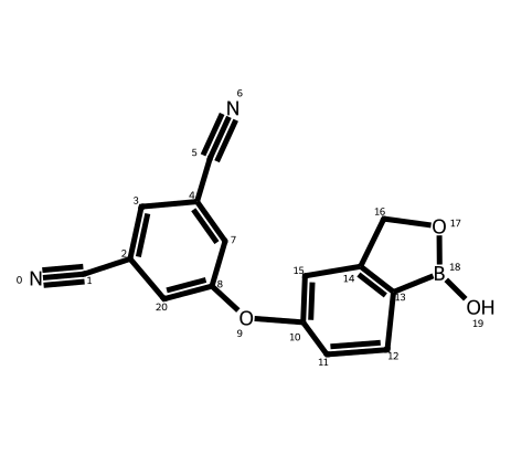 N#Cc1cc(C#N)cc(Oc2ccc3c(c2)COB3O)c1